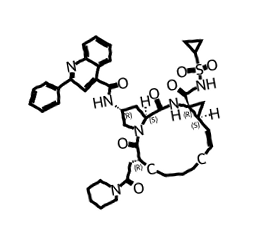 O=C(N[C@@H]1C[C@H]2C(=O)N[C@]3(C(=O)NS(=O)(=O)C4CC4)C[C@H]3C=CCCCCC[C@H](CC(=O)N3CCCCC3)C(=O)N2C1)c1cc(-c2ccccc2)nc2ccccc12